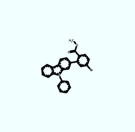 COC(=O)c1ccc(Br)cc1-c1ccc2c3ccccc3n(-c3ccccc3)c2c1